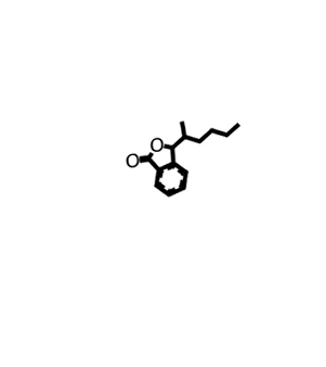 CCCCC(C)C1OC(=O)c2ccccc21